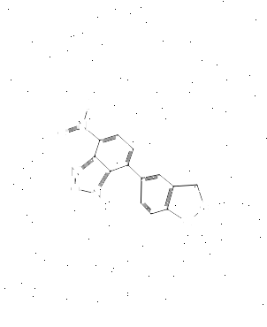 O=[N+]([O-])c1ccc(-c2ccc3c(c2)COO3)c2nonc12